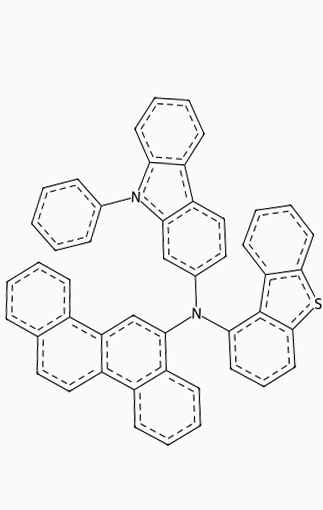 c1ccc(-n2c3ccccc3c3ccc(N(c4cc5c6ccccc6ccc5c5ccccc45)c4cccc5sc6ccccc6c45)cc32)cc1